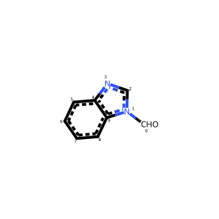 O=Cn1[c]nc2ccccc21